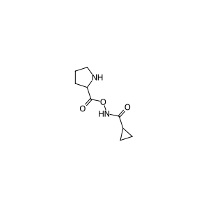 O=C(NOC(=O)C1CCCN1)C1CC1